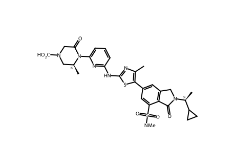 CNS(=O)(=O)c1cc(-c2sc(Nc3cccc(N4C(=O)CN(C(=O)O)C[C@@H]4C)n3)nc2C)cc2c1C(=O)N([C@@H](C)C1CC1)C2